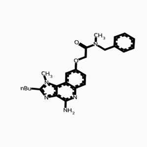 CCCCc1nc2c(N)nc3ccc(OCC(=O)N(C)Cc4ccccc4)cc3c2n1C